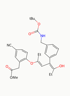 CC/C(O)=C(\C=C(/CC)Oc1ccc(C#N)cc1CC(=O)OC)c1cccc(CNC(=O)OC(C)(C)C)c1